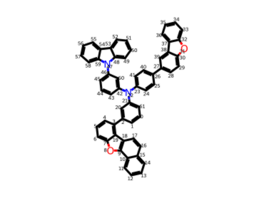 c1cc(-c2cccc3oc4c5ccccc5ccc4c23)cc(N(c2ccc(-c3ccc4oc5ccccc5c4c3)cc2)c2cccc(-n3c4ccccc4c4ccccc43)c2)c1